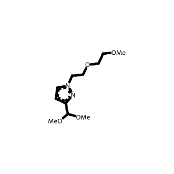 COCCOCCn1ccc(C(OC)OC)n1